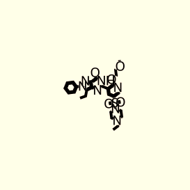 CCc1c2nc(-c3cc(S(=O)(=O)N4CCN(CC)CC4)cnc3OCCOC)[nH]c(=O)c2nn1-c1ccccc1